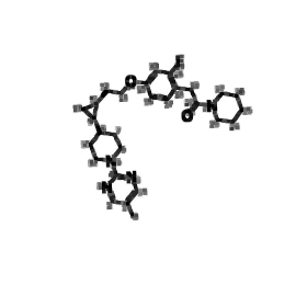 Cc1cnc(N2CCC([C@H]3C[C@H]3CCOc3ccc(CC(=O)N4CCCCC4)c(F)c3)CC2)nc1